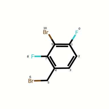 Fc1ccc(CBr)c(F)c1Br